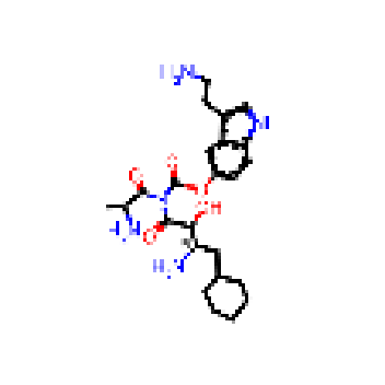 CC(N)C(=O)N(C(=O)Oc1ccc2[nH]cc(CCN)c2c1)C(=O)C(O)[C@H](N)CC1CCCCC1